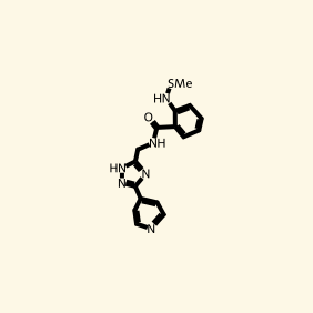 CSNc1ccccc1C(=O)NCc1nc(-c2ccncc2)n[nH]1